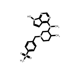 CC1CCN(Cc2ccc(S(C)(=O)=O)cc2)CC1N(C)c1ncnc2c1ccn2O